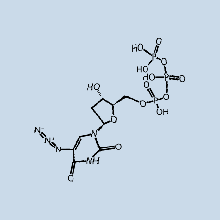 [N-]=[N+]=Nc1cn([C@H]2C[C@H](O)[C@@H](COP(=O)(O)OP(=O)(O)OP(=O)(O)O)O2)c(=O)[nH]c1=O